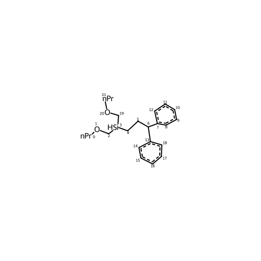 CCCOC[SiH](CCC(c1ccccc1)c1ccccc1)COCCC